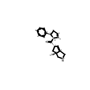 O=C([C@@H]1C=C2CNC[C@@H]2C1)N1N=CC[C@@H]1c1ccccc1